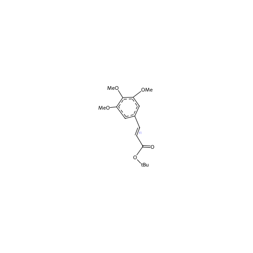 COc1cc(/C=C/C(=O)OC(C)(C)C)cc(OC)c1OC